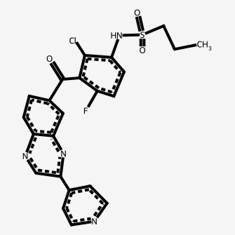 CCCS(=O)(=O)Nc1ccc(F)c(C(=O)c2ccc3ncc(-c4ccncc4)nc3c2)c1Cl